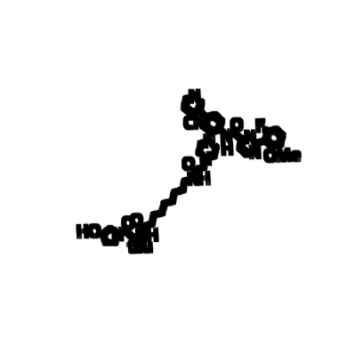 COc1cccc(F)c1-c1nccc(C(=O)Nc2ccc(-c3cnccc3C#N)cc2N2CCN(CC(=O)NCCCCCCCCC(=O)N[C@H](C(=O)N3CC[C@@H](O)C3)C(C)(C)C)CC2)n1